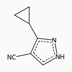 N#Cc1c[nH]nc1C1CC1